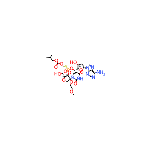 COCCO[C@]1(n2ccc(=O)[nH]c2=O)CO[C@H](CO)[C@H]1OP(=O)(OC[C@H]1O[C@@H](n2cnc3c(N)ncnc32)C[C@@H]1O)SCOC(=O)OCC(C)C